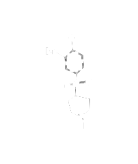 O=S(=O)(c1ccc(O)c(Br)c1)C1CCNCC1